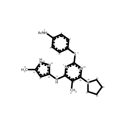 CC(=O)Nc1ccc(Sc2nc(Nc3cc(C)[nH]n3)c(C)c(N3CCCC3)n2)cc1